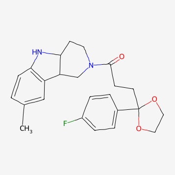 Cc1ccc2c(c1)C1CN(C(=O)CCC3(c4ccc(F)cc4)OCCO3)CCC1N2